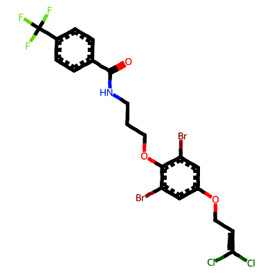 O=C(NCCCOc1c(Br)cc(OCC=C(Cl)Cl)cc1Br)c1ccc(C(F)(F)F)cc1